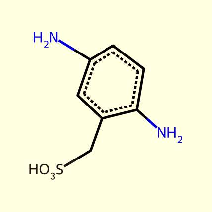 Nc1ccc(N)c(CS(=O)(=O)O)c1